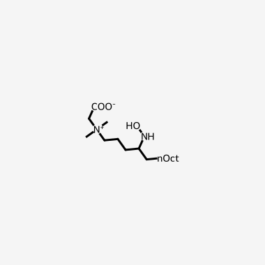 CCCCCCCCCC(CCC[N+](C)(C)CC(=O)[O-])NO